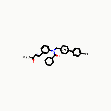 COC(=O)/C=C/c1cccc(N(CC23CCC(c4ccc(C(C)C)cc4)(CC2)CC3)C(=O)C2CCCCC2)c1